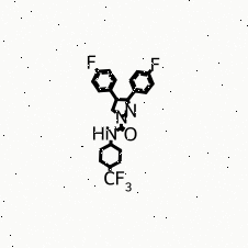 O=C(NC1CCC(C(F)(F)F)CC1)N1CC(c2ccc(F)cc2)C(c2ccc(F)cc2)=N1